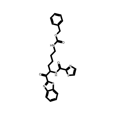 O=C(NCCCCC(NC(=O)c1nccs1)C(=O)c1nc2ccccc2s1)OCc1ccccc1